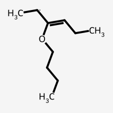 C[CH]C(=CCC)OCCCC